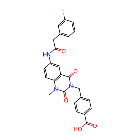 Cn1c(=O)n(Cc2ccc(C(=O)O)cc2)c(=O)c2cc(NC(=O)Cc3cccc(F)c3)ccc21